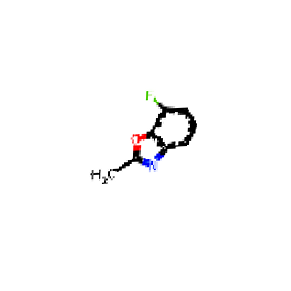 [CH2]c1nc2cccc(F)c2o1